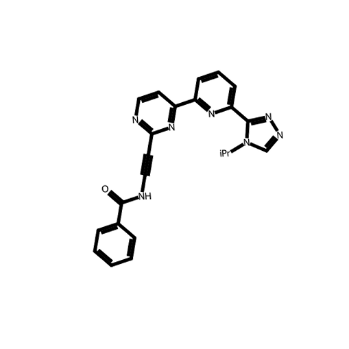 CC(C)n1cnnc1-c1cccc(-c2ccnc(C#CNC(=O)c3ccccc3)n2)n1